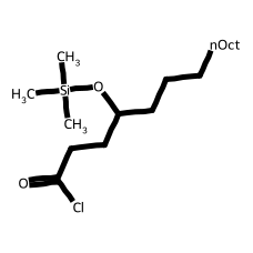 CCCCCCCCCCCC(CCC(=O)Cl)O[Si](C)(C)C